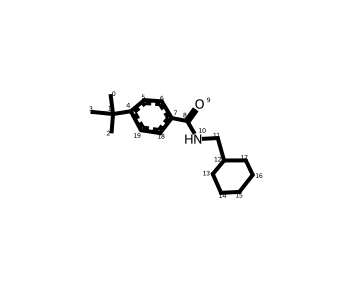 CC(C)(C)c1ccc(C(=O)NCC2CCCCC2)cc1